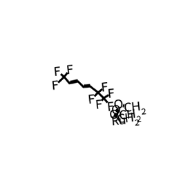 C=O.C=O.C=O.FC(F)(F)C=CC=CC(F)(F)C(F)(F)F.[Ru]